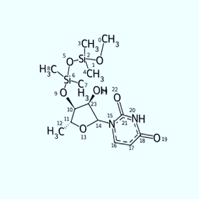 CO[Si](C)(C)O[Si](C)(C)O[C@@H]1[C@@H](C)OC(n2ccc(=O)[nH]c2=O)[C@@H]1O